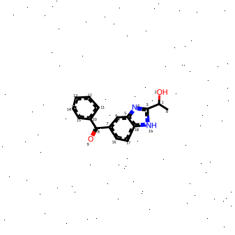 CC(O)c1nc2cc(C(=O)c3ccccc3)ccc2[nH]1